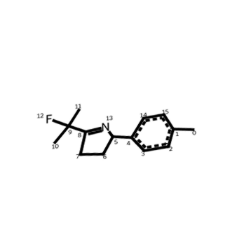 Cc1ccc(C2CCC(C(C)(C)F)=N2)cc1